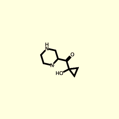 O=C(C1CNCC[N]1)C1(O)CC1